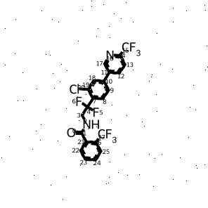 O=C(NCC(F)(F)c1ccc(-c2ccc(C(F)(F)F)nc2)cc1Cl)c1ccccc1C(F)(F)F